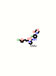 CO[C@@H]1C[C@H](C(=O)Nc2ccc(N3CCOCC3=O)cc2F)N(C(=O)C=Cc2ccc(Cl)o2)C1